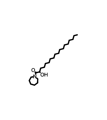 CCCCCCCCCCCCCCCCC(O)C(=O)N1CCCCCC1